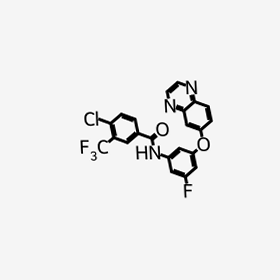 O=C(Nc1cc(F)cc(Oc2ccc3nccnc3c2)c1)c1ccc(Cl)c(C(F)(F)F)c1